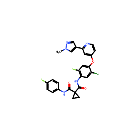 Cn1cc(-c2cc(Oc3cc(F)c(NC(=O)C4(C(=O)Nc5ccc(F)cc5)CC4)cc3Cl)ccn2)cn1